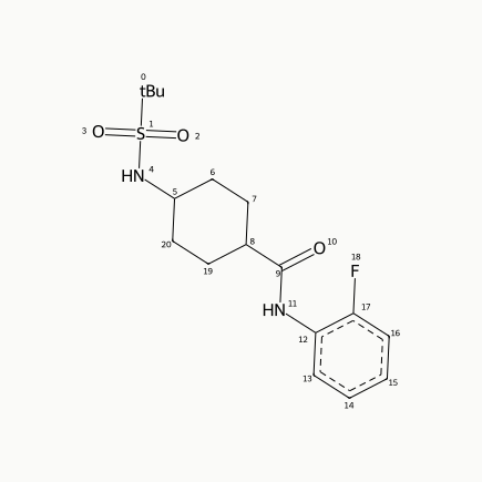 CC(C)(C)S(=O)(=O)NC1CCC(C(=O)Nc2ccccc2F)CC1